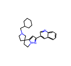 c1ccc2ncc(-c3cc4n(n3)CCC43CCN(CC4CCCCC4)C3)cc2c1